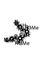 COC(=O)c1cc(F)c(OCCc2c(OC)cc(NC(=O)c3ccc(-n4ccnc4)nn3)c(C(=O)OC)c2F)cc1NC(=O)c1ccc(-n2ccnc2)nn1